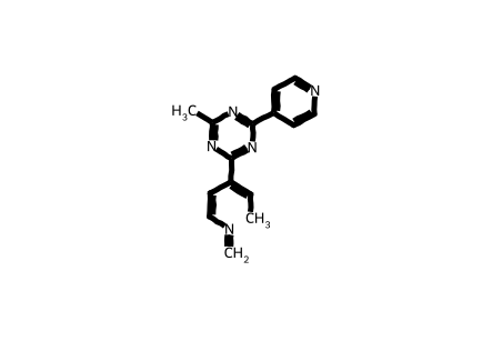 C=N/C=C\C(=C/C)c1nc(C)nc(-c2ccncc2)n1